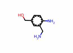 NCc1cc(CO)ccc1N